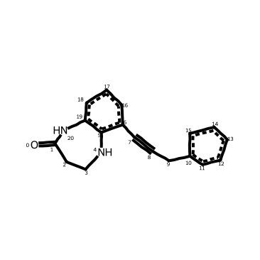 O=C1CCNc2c(C#CCc3ccccc3)cccc2N1